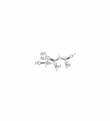 CCCCO.N.N.O=[PH](O)O[PH](=O)O